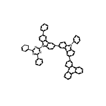 C1=CCCC(c2nc(-c3ccccc3)nc(-n3c4ccc(-c5ccccc5)cc4c4cc(-c5ccc6c(c5)c5cc(-c7ccc8c9ccccc9c9ccccc9c8c7)ccc5n6-c5ccccc5)ccc43)n2)=C1